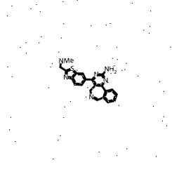 CNCc1nc2ccc(-c3nc(N)nc4c3CN=Cc3ccccc3-4)cc2s1